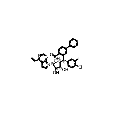 C=Cc1ncnc2c1ccn2[C@@H]1O[C@@H]([C@H](c2ccc(Cl)c(F)c2)c2cc(-c3ccccc3)ccc2C(=O)O)[C@@H](O)[C@H]1O